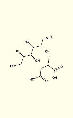 CC(CC(=O)O)C(=O)O.O=C[C@H](O)[C@@H](O)[C@@H](O)[C@H](O)CO